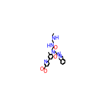 CCNCCNC(=O)CN(CC(=O)N(C)N1Cc2ccccc2C1)c1ccc(-c2ccc(C(=O)OC)cn2)cc1C